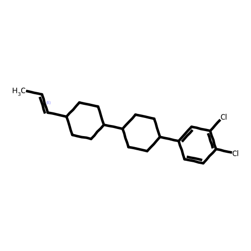 C/C=C/C1CCC(C2CCC(c3ccc(Cl)c(Cl)c3)CC2)CC1